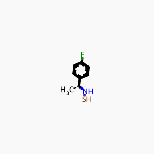 C[C@@H](NS)c1ccc(F)cc1